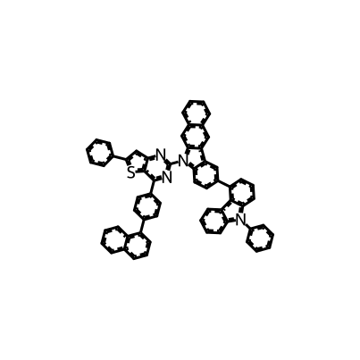 c1ccc(-c2cc3nc(-n4c5ccc(-c6cccc7c6c6ccccc6n7-c6ccccc6)cc5c5cc6ccccc6cc54)nc(-c4ccc(-c5cccc6ccccc56)cc4)c3s2)cc1